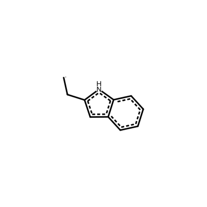 [CH2]Cc1cc2ccccc2[nH]1